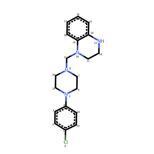 Clc1ccc(N2CCN(CN3CCNc4ccccc43)CC2)cc1